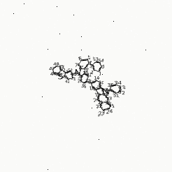 c1ccc(-c2cccc3c2c2cc(-c4ccc5c(c4)c4cc6ccccc6cc4n5-c4ccccc4)ccc2n3-c2ccc3sc4ccccc4c3c2)cc1